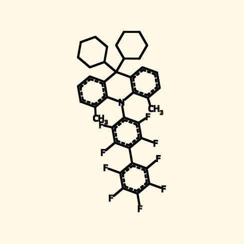 Cc1cccc2c1N(c1c(F)c(F)c(-c3c(F)c(F)c(F)c(F)c3F)c(F)c1F)c1c(C)cccc1C2(C1CCCCC1)C1CCCCC1